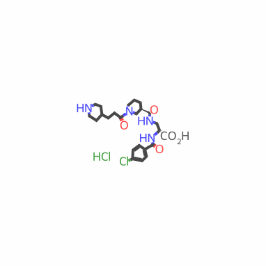 Cl.O=C(NC(CNC(=O)[C@@H]1CCCN(C(=O)CCC2CCNCC2)C1)C(=O)O)c1ccc(Cl)cc1